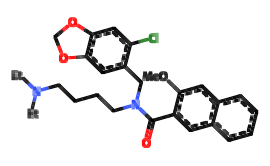 CCN(CC)CCCCN(Cc1cc2c(cc1Cl)OCO2)C(=O)c1cc2ccccc2cc1OC